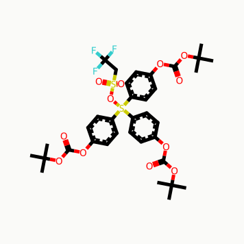 CC(C)(C)OC(=O)Oc1ccc(S(OS(=O)(=O)CC(F)(F)F)(c2ccc(OC(=O)OC(C)(C)C)cc2)c2ccc(OC(=O)OC(C)(C)C)cc2)cc1